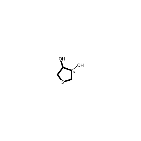 OC1CSC[C@H]1O